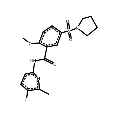 COc1ccc(S(=O)(=O)N2CCCC2)cc1C(=O)Nc1ccc(F)c(C)n1